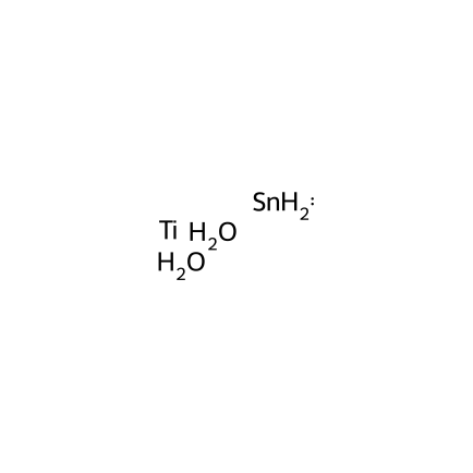 O.O.[SnH2].[Ti]